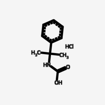 CC(C)(NC(=O)O)c1ccccc1.Cl